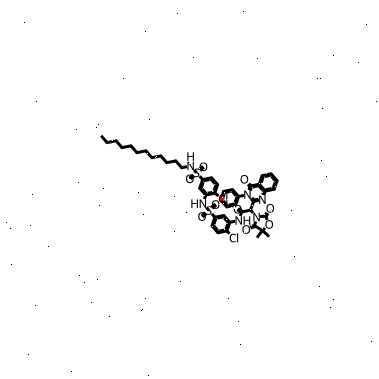 CCCCCCCCCCCCNS(=O)(=O)c1ccc(Cl)c(NS(=O)(=O)c2ccc(Cl)c(NC(=O)C(c3nc4ccccc4c(=O)n3-c3ccccc3)N3C(=O)OC(C)(C)C3=O)c2)c1